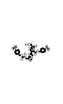 C[C@@H](O)[C@H]1C(=O)N2C(C(=O)OCc3ccc([N+](=O)[O-])cc3)=C(c3cn4cnc(CNC(=O)OCc5ccc([N+](=O)[O-])cc5)c4s3)[C@H](C)[C@H]12